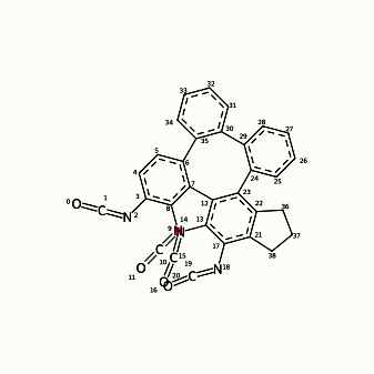 O=C=Nc1ccc2c(c1N=C=O)-c1c(N=C=O)c(N=C=O)c3c(c1-c1ccccc1-c1ccccc1-2)CCC3